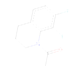 CC(=O)N1CCCc2ccc(F)c(F)c21